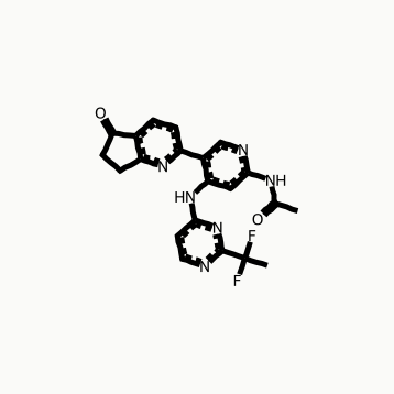 CC(=O)Nc1cc(Nc2ccnc(C(C)(F)F)n2)c(-c2ccc3c(n2)CCC3=O)cn1